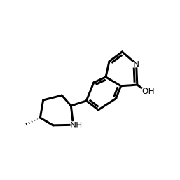 C[C@@H]1CCC(c2ccc3c(O)nccc3c2)NC1